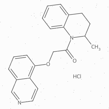 CC1CCc2ccccc2N1C(=O)COc1cccc2cnccc12.Cl